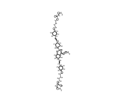 C=CC(=O)OCCCCOc1ccc(C#Cc2ccc(CSc3ccc(C#Cc4ccc(OCCCCOC(=O)C=C)cc4)cc3C(=O)OC)cc2)cc1